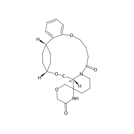 O=C1COCC2(CCCN3C(=O)CCCOc4ccccc4[C@H]4CC[C@H](CC4)OC[C@H]32)N1